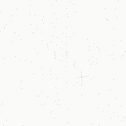 CC(C)c1ccc(OCCC(F)(F)F)cc1